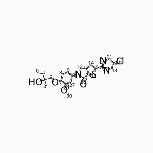 CCC(C)(O)COc1ccc(N2Cc3cc(-c4ncc(Cl)cn4)sc3C2=O)cc1OC